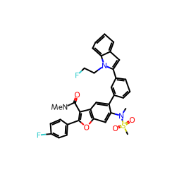 CNC(=O)c1c(-c2ccc(F)cc2)oc2cc(N(C)S(C)(=O)=O)c(-c3cccc(-c4cc5ccccc5n4CCF)c3)cc12